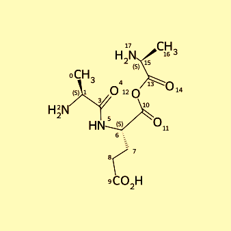 C[C@H](N)C(=O)N[C@@H](CCC(=O)O)C(=O)OC(=O)[C@H](C)N